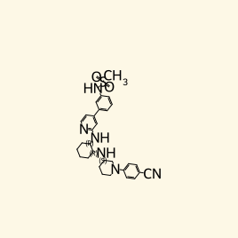 CS(=O)(=O)Nc1cccc(-c2ccnc(N[C@@H]3CCCC[C@H]3N[C@H]3CCCN(c4ccc(C#N)cc4)C3)c2)c1